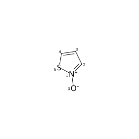 [O-][n+]1cccs1